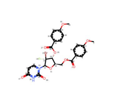 COc1ccc(C(=O)OC[C@H]2OC(n3ccc(=O)[nH]c3=O)[C@@](F)(Br)[C@@H]2OC(=O)c2ccc(OC)cc2)cc1